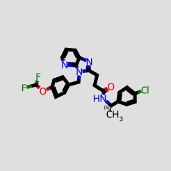 C[C@H](NC(=O)CCc1nc2cccnc2n1Cc1ccc(OC(F)F)cc1)c1ccc(Cl)cc1